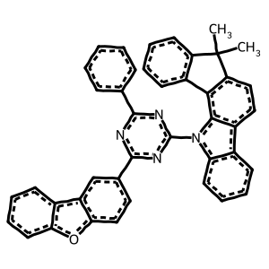 CC1(C)c2ccccc2-c2c1ccc1c3ccccc3n(-c3nc(-c4ccccc4)nc(-c4ccc5oc6ccccc6c5c4)n3)c21